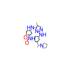 Cc1cnc(Nc2cccc(C(C)N3CCCC3)c2)nc1Nc1ccc2oc(=O)[nH]c2c1